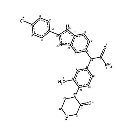 Cc1cc(C(C(N)=O)c2ccc3[nH]c(-c4ccc(Cl)cc4)nc3c2)ccc1N1CCOCC1=O